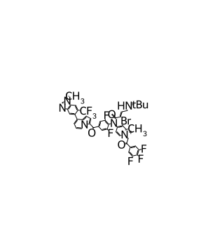 Cc1c(Br)c(N(C(=O)/C=C/CNC(C)(C)C)c2c(F)cc(C(=O)c3ccc4c(-c5cc6ncn(C)c6cc5C(F)(F)F)cccn34)cc2F)cc[n+]1CC(=O)c1cc(F)c(F)c(F)c1